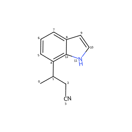 CC(CC#N)c1cccc2cc[nH]c12